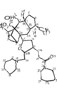 CC(C)C1=CC2CC3(C=O)[C@@H]4CC[C@@H](C)[C@H]4CC2(C2CC(CCC(=O)N4CCCCC4)C(CN4CCCCC4)O2)C13C(=O)O